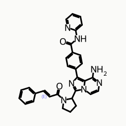 Nc1nccn2c(C3CCCN3C(=O)/C=C/c3ccccc3)nc(-c3ccc(C(=O)Nc4ccccn4)cc3)c12